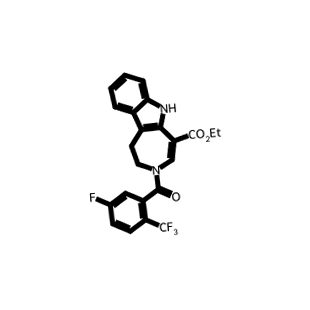 CCOC(=O)C1=CN(C(=O)c2cc(F)ccc2C(F)(F)F)CCc2c1[nH]c1ccccc21